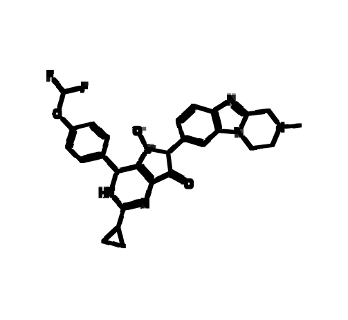 CN1CCn2c(nc3ccc(C4C(=O)C5=C(C(c6ccc(OC(F)F)cc6)NC(C6CC6)=N5)[S+]4[O-])cc32)C1